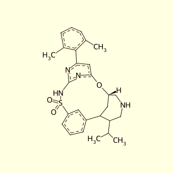 Cc1cccc(C)c1-c1cc2nc(n1)NS(=O)(=O)c1cccc(c1)C1C[C@@H](CNCC1C(C)C)O2